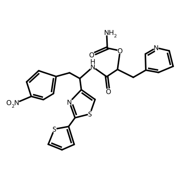 NC(=O)OC(Cc1cccnc1)C(=O)NC(Cc1ccc([N+](=O)[O-])cc1)c1csc(-c2cccs2)n1